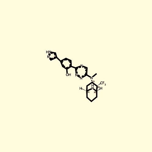 CN(c1cnc(-c2ccc(-c3cn[nH]c3)cc2O)nn1)[C@H]1C[C@@H]2CCC[C@@H](N2)[C@H]1C(F)(F)F